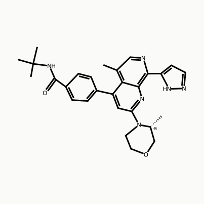 Cc1cnc(-c2ccn[nH]2)c2nc(N3CCOC[C@H]3C)cc(-c3ccc(C(=O)NC(C)(C)C)cc3)c12